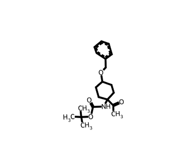 CC(=O)C1(NC(=O)OC(C)(C)C)CCC(OCc2ccccc2)CC1